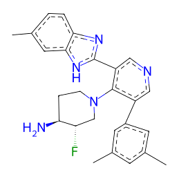 Cc1cc(C)cc(-c2cncc(-c3nc4ccc(C)cc4[nH]3)c2N2CC[C@H](N)[C@@H](F)C2)c1